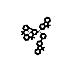 CC1(C)c2ccccc2-c2ccc(-c3cccc(N(c4ccc5c(c4)C(C)(C)c4ccccc4-5)c4cc5c6c(c4)c4cccc7c4n6-c4c(cccc4C5(C)C)C7(C)C)c3)cc21